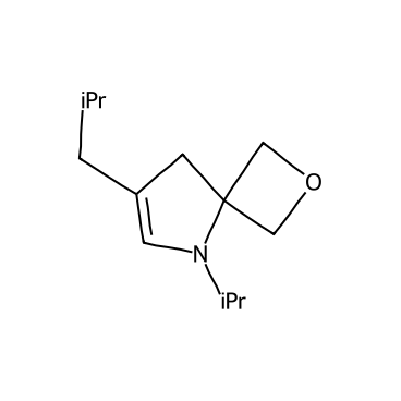 CC(C)CC1=CN(C(C)C)C2(COC2)C1